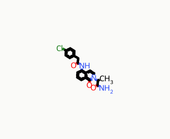 CC(C(N)=O)n1ccc2c(NC(=O)Cc3ccc(Cl)cc3)cccc2c1=O